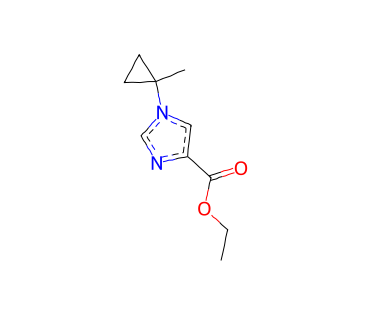 CCOC(=O)c1cn(C2(C)CC2)cn1